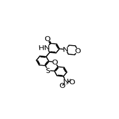 O=c1cc(N2CCOCC2)cc(-c2cccc3c2Oc2ccc([N+](=O)[O-])cc2S3)[nH]1